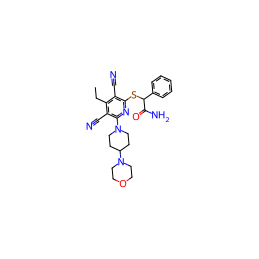 CCc1c(C#N)c(SC(C(N)=O)c2ccccc2)nc(N2CCC(N3CCOCC3)CC2)c1C#N